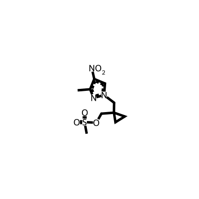 Cc1nn(CC2(COS(C)(=O)=O)CC2)cc1[N+](=O)[O-]